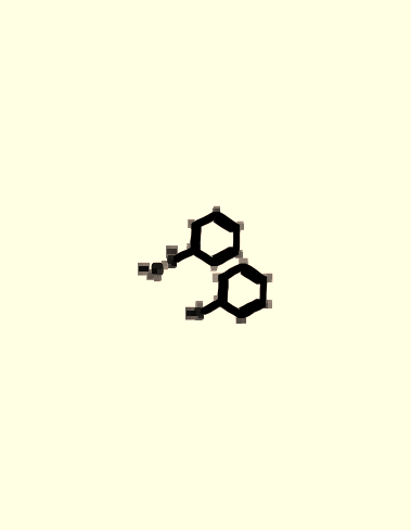 O.Sc1ccccc1.Sc1ccccc1